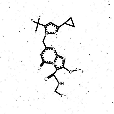 CCNC(=O)c1c(OC)sc2nc(Cn3nc(C4CC4)cc3C(F)(F)F)cc(=O)n12